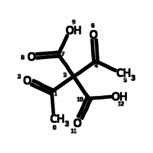 CC(=O)C(C(C)=O)(C(=O)O)C(=O)O